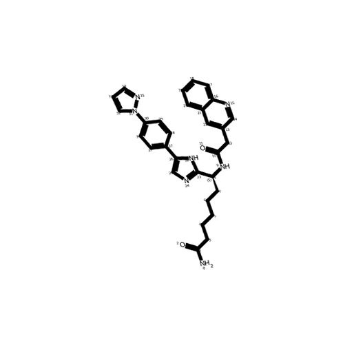 NC(=O)CCCCC[C@H](NC(=O)Cc1cnc2ccccc2c1)c1ncc(-c2ccc(-n3cccn3)cc2)[nH]1